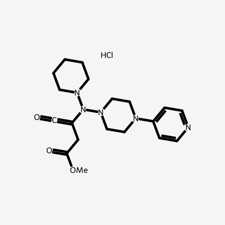 COC(=O)CC(=C=O)N(N1CCCCC1)N1CCN(c2ccncc2)CC1.Cl